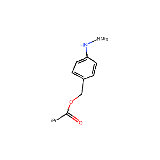 CNNc1ccc(COC(=O)C(C)C)cc1